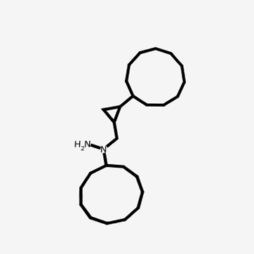 NN(CC1CC1C1CCCCCCCCCC1)C1CCCCCCCCCC1